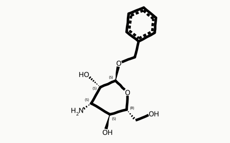 N[C@@H]1[C@H](O)[C@@H](OCc2ccccc2)O[C@H](CO)[C@H]1O